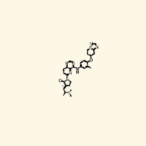 Cc1cc(Nc2ncnc3ccc(N4CC/C(=C\C(C)N(C)C)C4=O)nc23)ccc1Oc1ccn2ncnc2c1